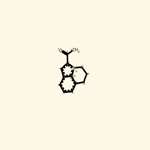 CC(=O)c1cc2cccc3c2n1CCC3